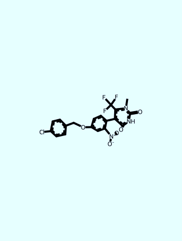 Cn1c(C(F)(F)F)c(-c2ccc(OCc3ccc(Cl)cc3)cc2[N+](=O)[O-])c(=O)[nH]c1=O